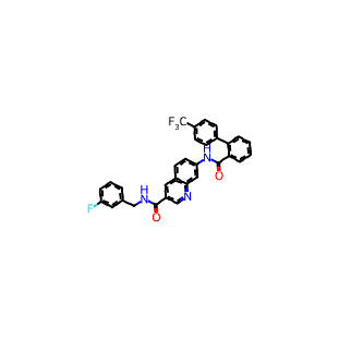 O=C(NCc1cccc(F)c1)c1cnc2cc(NC(=O)c3ccccc3-c3ccc(C(F)(F)F)cc3)ccc2c1